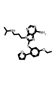 CCOc1ccc(-c2ccco2)c(Sc2nc3c(N)ncnc3n2CCCNC(C)C)c1